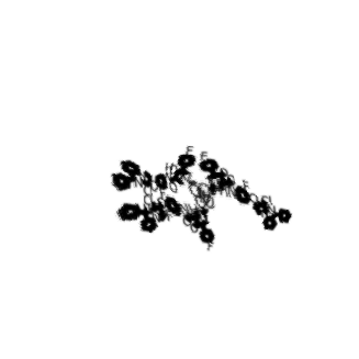 O=C(Nc1ccc(Oc2ccnc(N=C(c3ccccc3)c3ccccc3)c2Cl)c(F)c1)c1cn(COP(=O)(OCn2cc(C(=O)Nc3ccc(Oc4ccnc(N=C(c5ccccc5)c5ccccc5)c4Cl)c(F)c3)c(=O)c(-c3ccc(F)cc3)c2)OCn2cc(C(=O)Nc3ccc(Oc4ccnc(N=C(c5ccccc5)c5ccccc5)c4Cl)c(F)c3)c(=O)c(-c3ccc(F)cc3)c2)cc(-c2ccc(F)cc2)c1=O